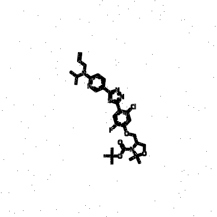 C=CCN(c1ccc(-c2nnc(-c3cc(F)c(OCC4COC(C)(C)N4C(=O)OC(C)(C)C)cc3Cl)s2)cn1)C(C)C